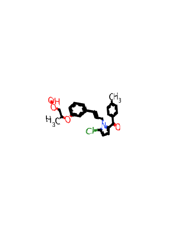 Cc1ccc(C(=O)c2ccc(Cl)n2C/C=C/c2cccc(O[C@@H](C)COO)c2)cc1